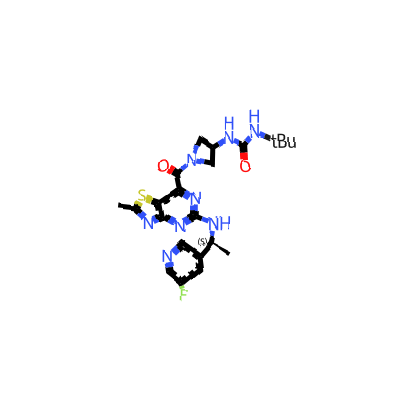 Cc1nc2nc(N[C@@H](C)c3cncc(F)c3)nc(C(=O)N3CC(NC(=O)NC(C)(C)C)C3)c2s1